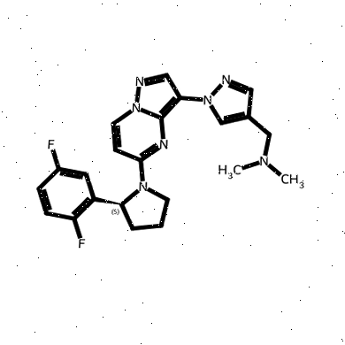 CN(C)Cc1cnn(-c2cnn3ccc(N4CCC[C@H]4c4cc(F)ccc4F)nc23)c1